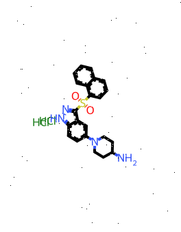 Cl.Cl.NC1CCN(c2ccc3[nH]nc(S(=O)(=O)c4cccc5ccccc45)c3c2)CC1